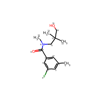 Cc1cc(F)cc(C(=O)N(C)CC(C)(C)CO)c1